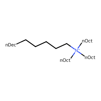 CCCCCCCCCCCCCCC[N+](CCCCCCCC)(CCCCCCCC)CCCCCCCC